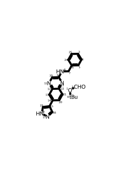 CC(C)(C)OC=O.c1ccc(CNc2cnc3cc(-c4cn[nH]c4)ccc3n2)cc1